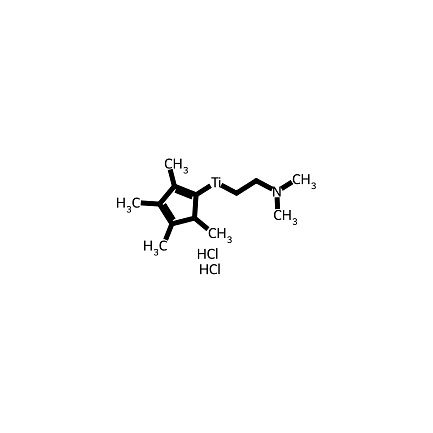 CC1=C(C)C(C)[C]([Ti][CH2]CN(C)C)=C1C.Cl.Cl